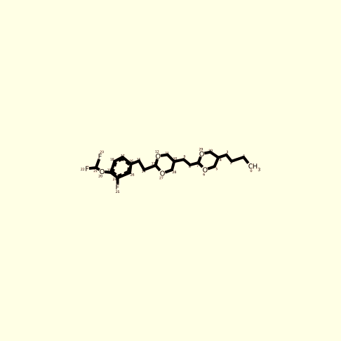 CCCCC1COC(CCC2COC(CCc3ccc(OC(F)F)c(F)c3)OC2)OC1